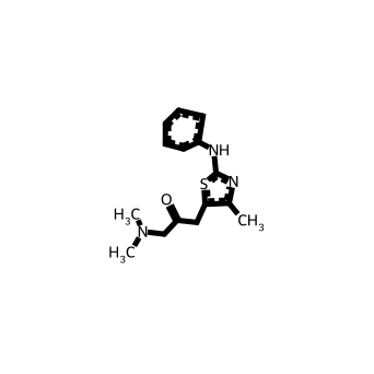 Cc1nc(Nc2ccccc2)sc1CC(=O)CN(C)C